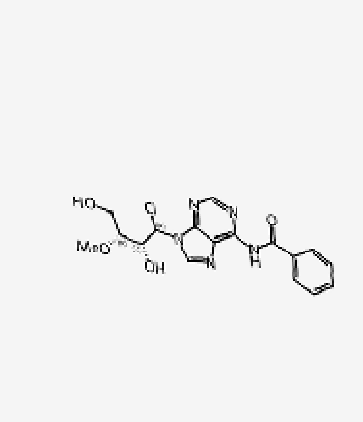 CO[C@H](CO)[C@@H](O)[C@@H](Cl)n1cnc2c(NC(=O)c3ccccc3)ncnc21